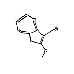 COC1=C(Br)c2ccccc2C1